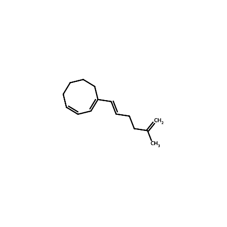 C=C(C)CCC=C/C1=C/C=C\CCCC1